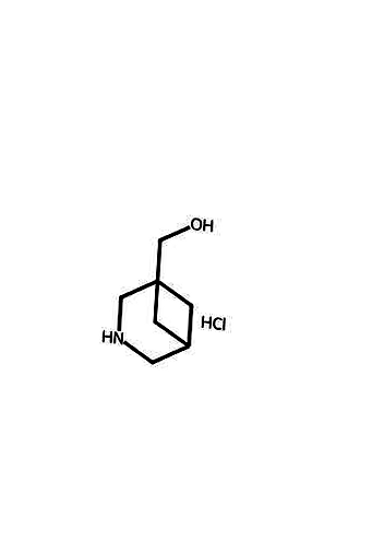 Cl.OCC12CNCC(C1)C2